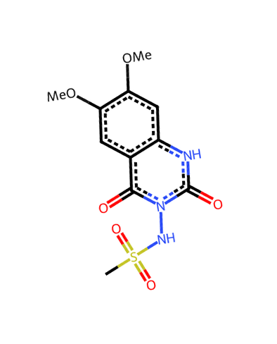 COc1cc2[nH]c(=O)n(NS(C)(=O)=O)c(=O)c2cc1OC